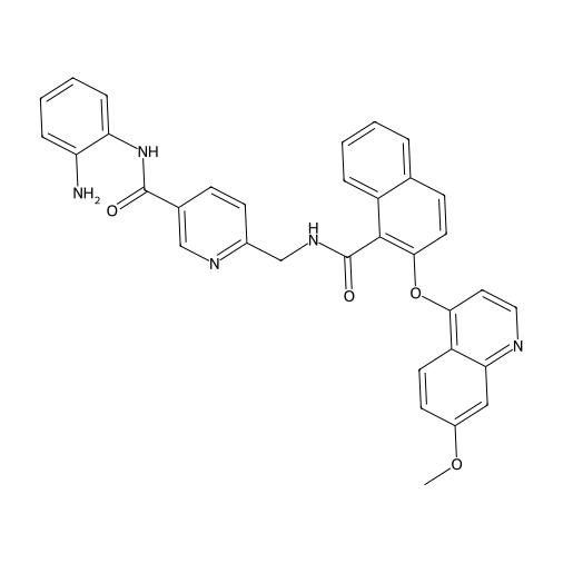 COc1ccc2c(Oc3ccc4ccccc4c3C(=O)NCc3ccc(C(=O)Nc4ccccc4N)cn3)ccnc2c1